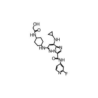 O=C(CO)NC1CCC(Nc2cc(NC3CC3)c3ncc(C(=O)Nc4ccnc(F)c4)n3n2)CC1